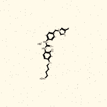 Br.CCCCCCCCCCCCCCOc1ccc(NC(=O)Nc2ccc(CN3C=C(C)SC3)cc2)c(Cl)c1